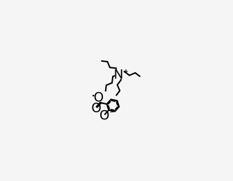 CCCC[N+](CCCC)(CCCC)CCCC.COC(=O)c1ccccc1[O-]